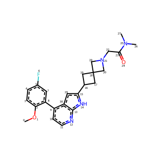 COc1ccc(F)cc1-c1ccnc2[nH]c(C3CC4(C3)CN(CC(=O)N(C)C)C4)cc12